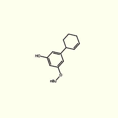 CCCCOc1cc(O)cc(C2C=CCCC2)c1